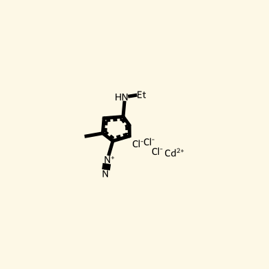 CCNc1ccc([N+]#N)c(C)c1.[Cd+2].[Cl-].[Cl-].[Cl-]